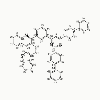 c1ccc(-c2ccc(-c3cc(-c4cccc(-c5nc6ccccc6c6c5ccc5c7ccccc7sc56)c4)nc(-c4ccc(-c5ccccc5)cc4)n3)cc2)cc1